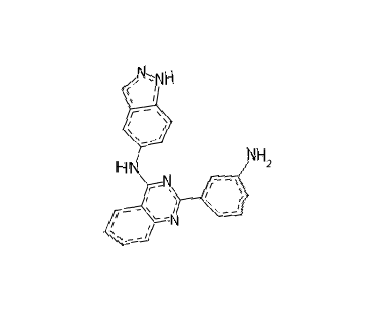 Nc1cccc(-c2nc(Nc3ccc4[nH]ncc4c3)c3ccccc3n2)c1